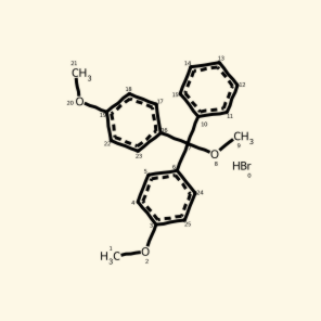 Br.COc1ccc(C(OC)(c2ccccc2)c2ccc(OC)cc2)cc1